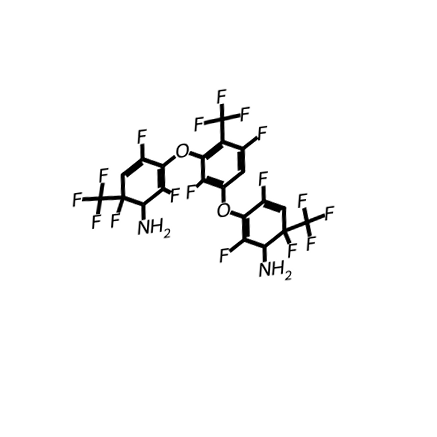 NC1C(F)=C(Oc2cc(F)c(C(F)(F)F)c(OC3=C(F)C(N)C(F)(C(F)(F)F)C=C3F)c2F)C(F)=CC1(F)C(F)(F)F